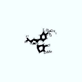 COc1ccc(-n2nc(C(F)F)cc2-c2ccc(S(C)(=O)=O)c(F)c2)cc1Cl